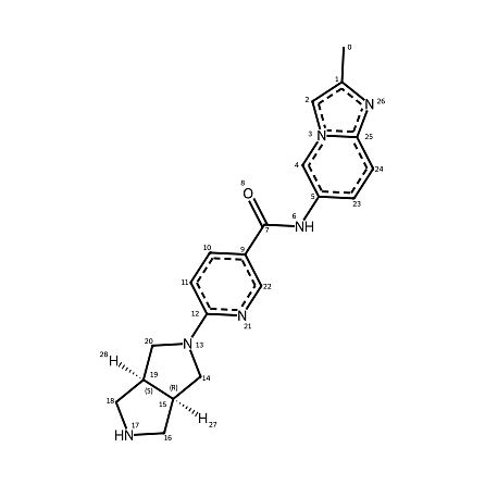 Cc1cn2cc(NC(=O)c3ccc(N4C[C@H]5CNC[C@H]5C4)nc3)ccc2n1